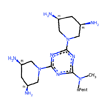 CCCCCN(C)c1nc(N2C[C@H](N)C[C@H](N)C2)nc(N2C[C@H](N)C[C@H](N)C2)n1